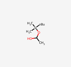 CCCC[Si](C)(C)OC(C)O